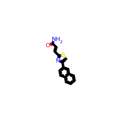 NC(=O)C=Cc1nc(-c2ccc3ccccc3c2)cs1